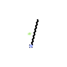 CCCCCCCCCCCCCCCC[N+](C)(C)C.F.[F-]